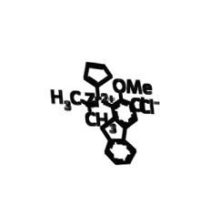 COc1ccc2c([c]1[Zr+2]([C]1=CC=CC1)=[C](C)C)Cc1ccccc1-2.[Cl-].[Cl-]